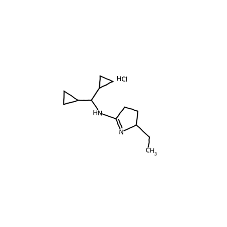 CCC1CCC(NC(C2CC2)C2CC2)=N1.Cl